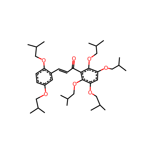 CC(C)COc1ccc(OCC(C)C)c(/C=C/C(=O)c2c(OCC(C)C)c(OCC(C)C)cc(OCC(C)C)c2OCC(C)C)c1